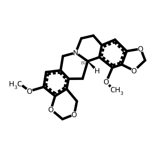 COc1cc2c(c3c1OCOC3)C[C@H]1c3c(cc4c(c3OC)OCO4)CCN1C2